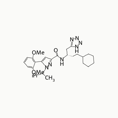 COc1cccc(OC)c1-c1cc(C(=O)N[C@@H](CCC2CCCCC2)Cc2nnn[nH]2)nn1C(C)C(C)C